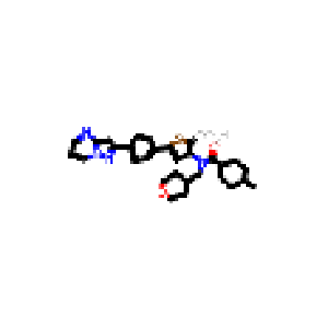 CC1CCC(C(=O)N(CC2CCOCC2)c2cc(-c3ccc(-c4cc5ncccn5n4)cc3)sc2C(=O)O)CC1